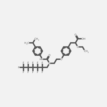 CCOC(Cc1ccc(OCCN(CC(F)(F)C(F)(F)C(F)(F)C(F)(F)C(F)(F)F)C(=O)Nc2ccc(C(C)C)cc2)cc1)C(=O)O